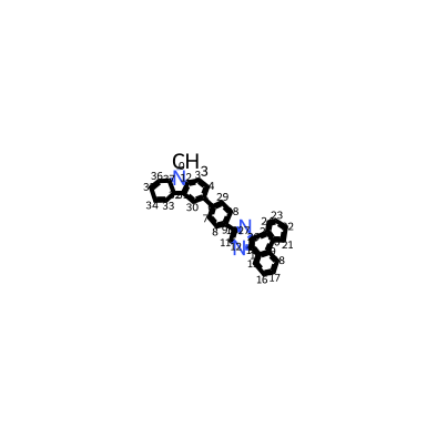 CN1c2ccc(-c3ccc(-c4cnc5c6ccccc6c6ccccc6c5n4)cc3)cc2C2C=CC=CC21